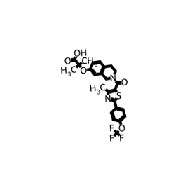 Cc1nc(-c2ccc(OC(F)(F)F)cc2)sc1C(=O)N1CCc2ccc(OC(C)(C)C(=O)O)cc2C1